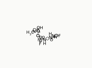 CN(C)Cc1cc(O)ccc1-c1cccc(Oc2ncc(F)cc2C(=O)NC2CCC(NC(=O)c3cn4cc(F)ccc4n3)CC2)c1